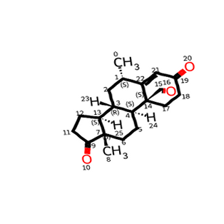 C[C@H]1C[C@@H]2[C@H](CC[C@]3(C)C(=O)CC[C@@H]23)[C@@]2(C=O)CCC(=O)C=C12